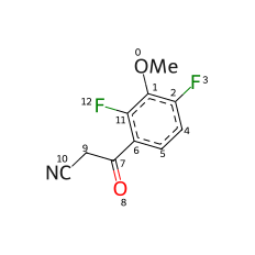 COc1c(F)ccc(C(=O)CC#N)c1F